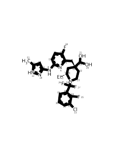 CC[C@@H]1C[C@](Cc2nc(Nc3cc(C)[nH]n3)ccc2F)(C(O)O)CCN1C(F)(F)c1cccc(Cl)c1F